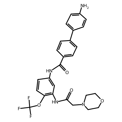 Nc1ccc(-c2ccc(C(=O)Nc3ccc(OC(F)(F)F)c(NC(=O)CN4CCOCC4)c3)cc2)cc1